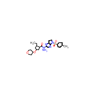 CCC1CC(OC2CCOCC2)CC1C(=O)N(N)c1cnc2c(ccn2S(=O)(=O)c2ccc(C)cc2)n1